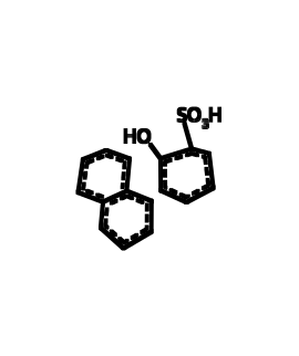 O=S(=O)(O)c1ccccc1O.c1ccc2ccccc2c1